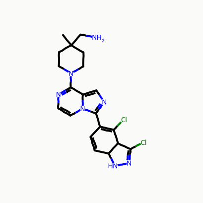 CC1(CN)CCN(c2nccn3c(C4=C(Cl)C5C(Cl)=NNC5C=C4)ncc23)CC1